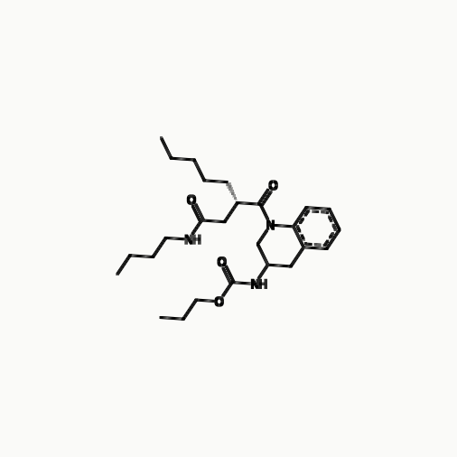 CCCCC[C@@H](CC(=O)NCCCC)C(=O)N1CC(NC(=O)OCCC)Cc2ccccc21